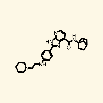 O=C(NC12CCC(CC1)C2)c1ccnc2[nH]c(-c3ccc(NCCN4CCCCC4)cc3)nc12